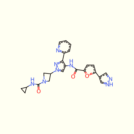 O=C(Nc1cn(C2CN(C(=O)NC3CC3)C2)nc1-c1ccccn1)c1ccc(-c2cn[nH]c2)o1